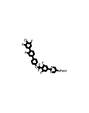 CCCCCc1cnc(-c2cc(F)c(C(F)(F)Oc3ccc(-c4ccc(-c5cc(F)c(Cl)c(F)c5)c(F)c4)cc3)c(F)c2)nc1